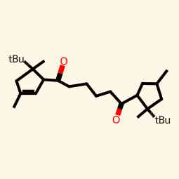 CC1=CC(C(=O)CCCCC(=O)C2CC(C)CC2(C)C(C)(C)C)C(C)(C(C)(C)C)C1